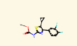 CC(C)(C)OC(=O)Nc1nc(-c2ccc(F)c(F)c2)c(C2CC2)s1